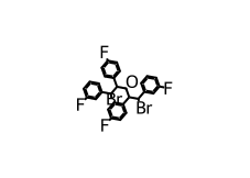 O=C(C(c1ccc(F)cc1)C(Br)c1cccc(F)c1)C(c1ccc(F)cc1)C(Br)c1cccc(F)c1